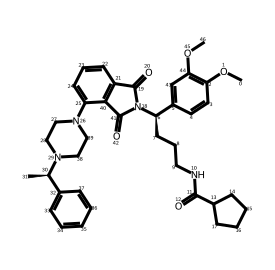 COc1ccc([C@@H](CCCNC(=O)C2CCCC2)N2C(=O)c3cccc(N4CCN([C@H](C)c5ccccc5)CC4)c3C2=O)cc1OC